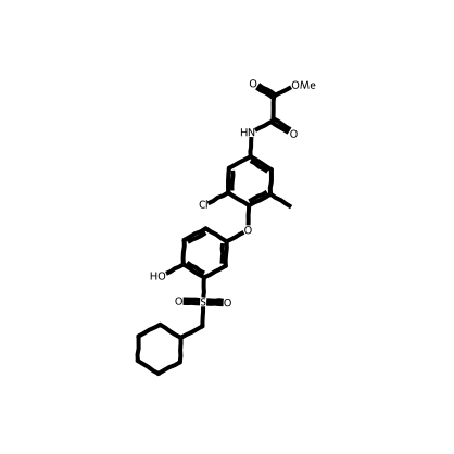 COC(=O)C(=O)Nc1cc(C)c(Oc2ccc(O)c(S(=O)(=O)CC3CCCCC3)c2)c(Cl)c1